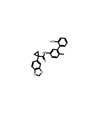 Cc1ccc(NC(=O)C2(c3ccc4c(c3)OCO4)CC2)cc1-c1ccccc1O